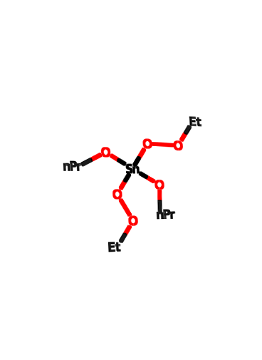 CCC[O][Sn]([O]CCC)([O]OCC)[O]OCC